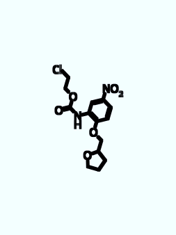 O=C(Nc1cc([N+](=O)[O-])ccc1OCC1CCCO1)OCCCl